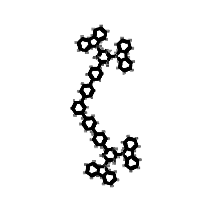 c1cc(-c2ccc(-c3ccc(-c4nc(-n5c6ccccc6c6ccccc65)nc(-n5c6ccccc6c6ccccc65)n4)cc3)cc2)cc(-c2ccc(-c3ccc(-c4nc(-n5c6ccccc6c6ccccc65)nc(-n5c6ccccc6c6ccccc65)n4)cc3)cc2)c1